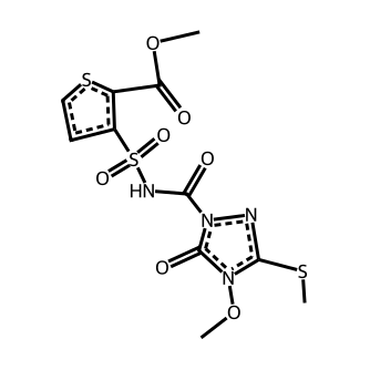 COC(=O)c1sccc1S(=O)(=O)NC(=O)n1nc(SC)n(OC)c1=O